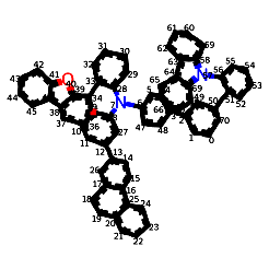 c1cc(-c2ccc(N(c3cccc(-c4ccc5c(ccc6ccccc65)c4)c3)c3ccccc3-c3cccc4c3oc3ccccc34)cc2)cc(-c2ccccc2-n2c3ccccc3c3ccccc32)c1